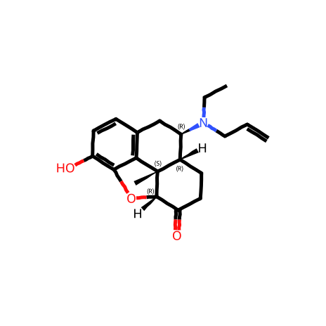 C=CCN(CC)[C@@H]1Cc2ccc(O)c3c2[C@@]2(C)[C@@H](O3)C(=O)CC[C@@H]12